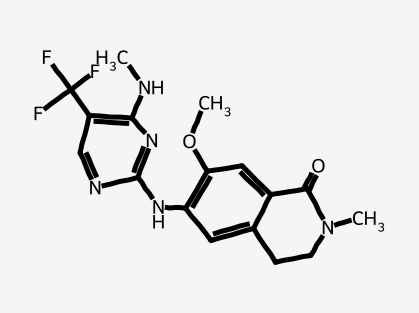 CNc1nc(Nc2cc3c(cc2OC)C(=O)N(C)CC3)ncc1C(F)(F)F